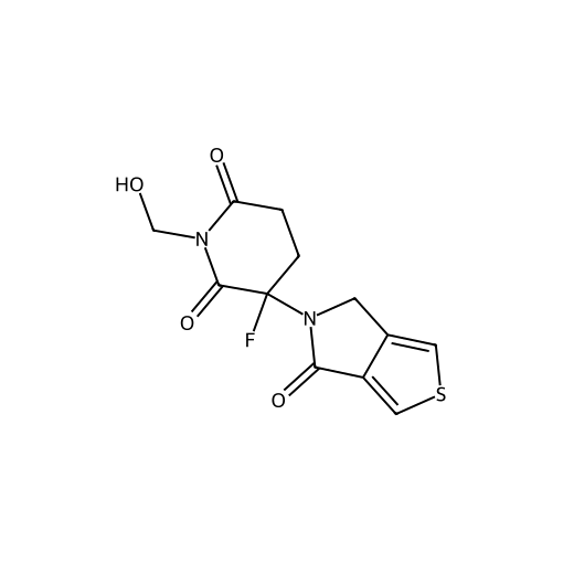 O=C1CCC(F)(N2Cc3cscc3C2=O)C(=O)N1CO